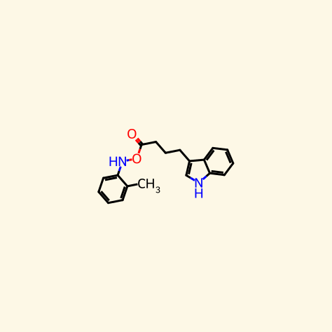 Cc1ccccc1NOC(=O)CCCc1c[nH]c2ccccc12